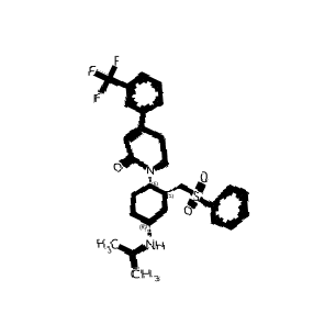 CC(C)N[C@@H]1CC[C@H](N2CCC(c3cccc(C(F)(F)F)c3)=CC2=O)[C@@H](CS(=O)(=O)c2ccccc2)C1